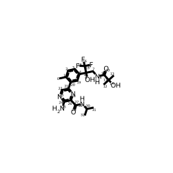 Cc1ccc(C(O)(CNC(=O)C(C)(C)O)C(F)(F)F)cc1-c1cnc(N)c(C(=O)NC(C)C)n1